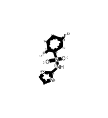 O=S(=O)(Nc1nccs1)c1cc(F)ccc1F